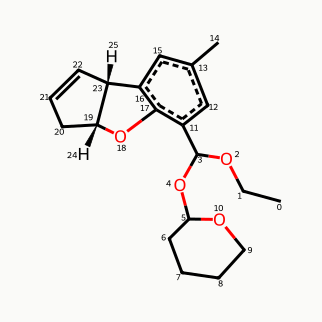 CCOC(OC1CCCCO1)c1cc(C)cc2c1O[C@@H]1CC=C[C@H]21